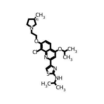 CC(C)Nc1nc(-c2cc(OC(C)C)c3ccc(OCCN4CC[C@@H](C)C4)c(Cl)c3n2)cs1